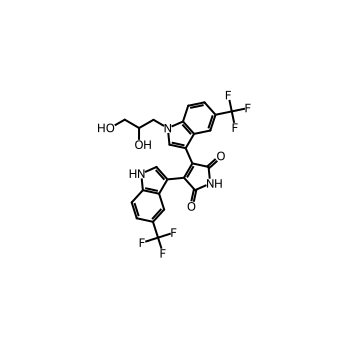 O=C1NC(=O)C(c2cn(CC(O)CO)c3ccc(C(F)(F)F)cc23)=C1c1c[nH]c2ccc(C(F)(F)F)cc12